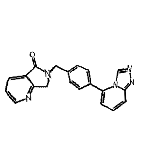 O=C1c2cccnc2CN1Cc1ccc(-c2cccc3nncn23)cc1